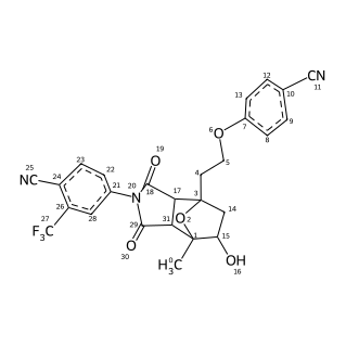 CC12OC(CCOc3ccc(C#N)cc3)(CC1O)C1C(=O)N(c3ccc(C#N)c(C(F)(F)F)c3)C(=O)C12